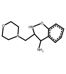 NC1c2ccccc2ONC1CN1CCOCC1